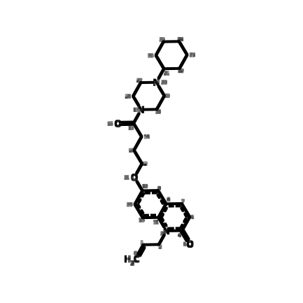 C=CCn1c(=O)ccc2cc(OCCCC(=O)N3CCN(C4CCCCC4)CC3)ccc21